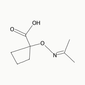 CC(C)=NOC1(C(=O)O)CCC1